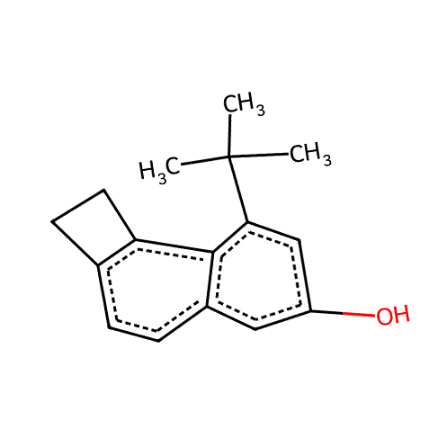 CC(C)(C)c1cc(O)cc2ccc3c(c12)CC3